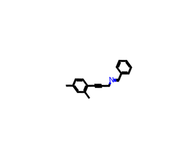 Cc1ccc(C#CC/N=C/c2ccccc2)c(C)c1